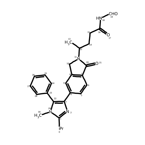 CC(C)c1nc(-c2ccc3c(c2)CN(C(C)CCC(=O)NC=O)C3=O)c(-c2ccccc2)n1C